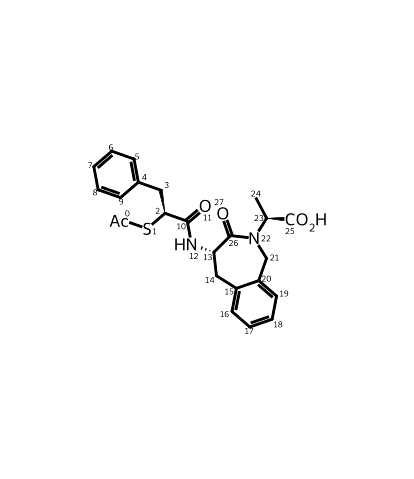 CC(=O)S[C@@H](Cc1ccccc1)C(=O)N[C@H]1Cc2ccccc2CN([C@@H](C)C(=O)O)C1=O